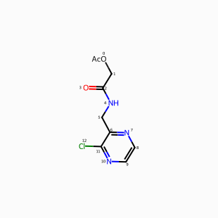 CC(=O)OCC(=O)NCc1nccnc1Cl